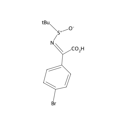 CC(C)(C)[S+]([O-])N=C(C(=O)O)c1ccc(Br)cc1